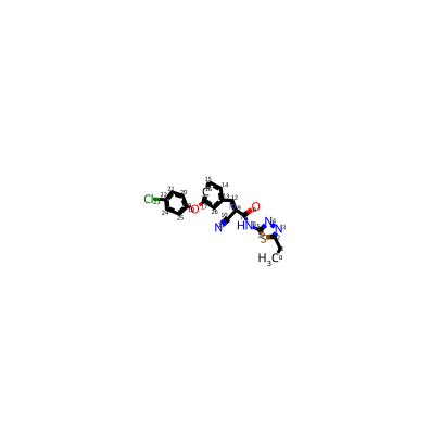 CCc1nnc(NC(=O)/C(C#N)=C/c2cccc(Oc3ccc(Cl)cc3)c2)s1